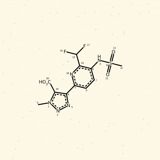 Cn1nnc(-c2ccc(NS(C)(=O)=O)c(C(F)F)n2)c1C(=O)O